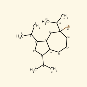 CC(C)C1CC(C(C)C)C2CC(Br)(C(C)C)CCCC12